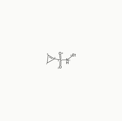 CCNS(=O)(=O)C1=CC1